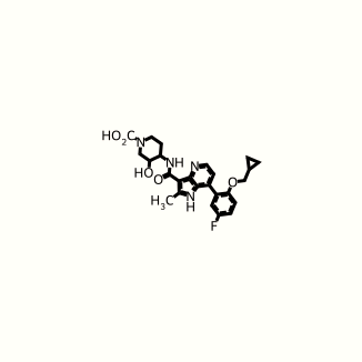 Cc1[nH]c2c(-c3cc(F)ccc3OCC3CC3)ccnc2c1C(=O)NC1CCN(C(=O)O)CC1O